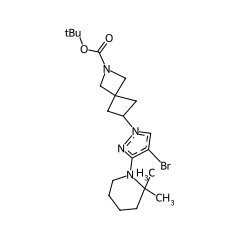 CC(C)(C)OC(=O)N1CC2(CC(n3cc(Br)c(N4CCCCC4(C)C)n3)C2)C1